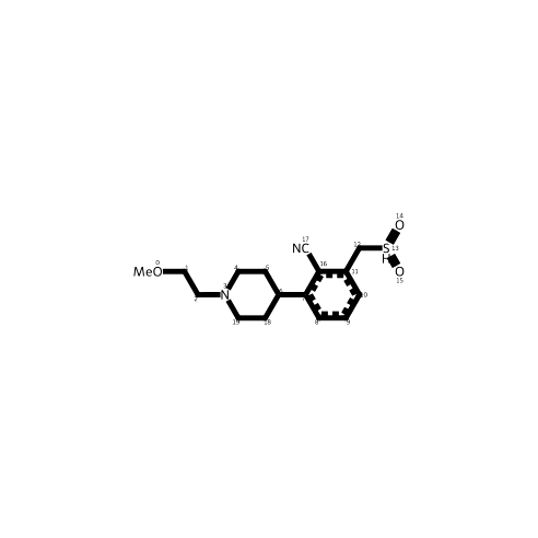 COCCN1CCC(c2cccc(C[SH](=O)=O)c2C#N)CC1